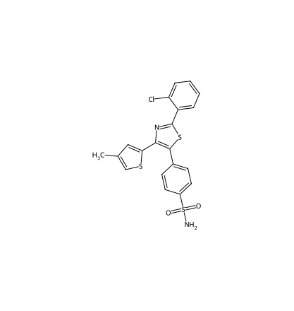 Cc1csc(-c2nc(-c3ccccc3Cl)sc2-c2ccc(S(N)(=O)=O)cc2)c1